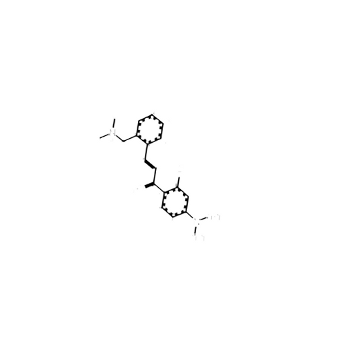 CCCN(CCC)c1ccc(C(=O)C=Cc2ccccc2CN(C)C)c(F)c1